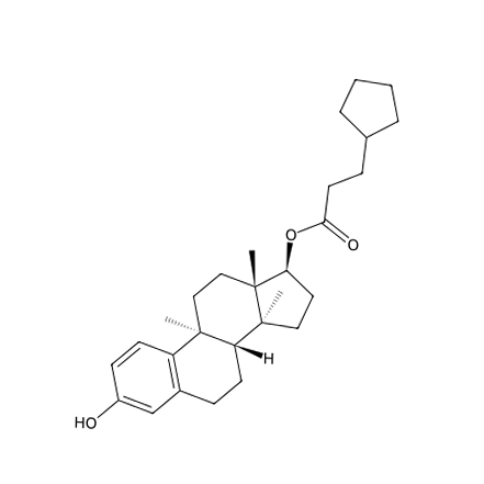 C[C@@]12CC[C@H](OC(=O)CCC3CCCC3)[C@@]1(C)CC[C@]1(C)c3ccc(O)cc3CC[C@@H]21